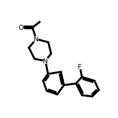 CC(=O)N1CCN(c2cccc(-c3ccccc3F)c2)CC1